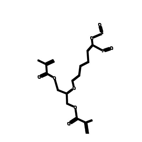 C=C(C)C(=O)OCC(COC(=O)C(=C)C)OCCCCCC(OP=O)P=O